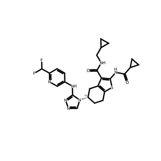 O=C(NCC1CC1)c1c(NC(=O)C2CC2)sc2c1C[C@@H](n1cnnc1Nc1ccc(C(F)F)nc1)CC2